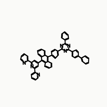 c1ccc(-c2ccc(-c3nc(-c4ccccc4)nc(-c4ccc(-c5c6ccccc6c(-c6cc(-c7ccccn7)nc(-c7ccccn7)c6)c6ccccc56)cc4)n3)cc2)cc1